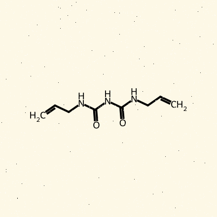 C=CCNC(=O)NC(=O)NCC=C